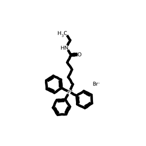 CCNC(=O)CCCC[P+](c1ccccc1)(c1ccccc1)c1ccccc1.[Br-]